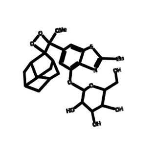 COC1(c2cc(OC3OC(CO)C(O)C(O)C3O)c3nc(C(C)(C)C)sc3c2)OOC12C1CC3CC(C1)CC2C3